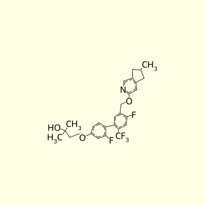 CC1Cc2cnc(OCc3cc(-c4ccc(OCCC(C)(C)O)cc4F)c(C(F)(F)F)cc3F)cc2C1